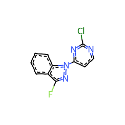 Fc1nn(-c2ccnc(Cl)n2)c2ccccc12